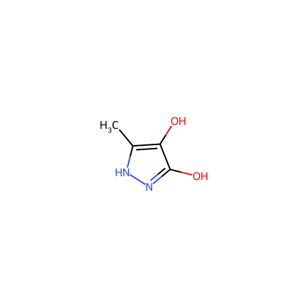 Cc1[nH]nc(O)c1O